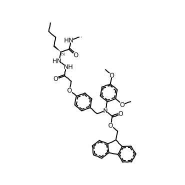 [CH2]NC(=O)[C@H](CCCC)NNC(=O)COc1ccc(CN(C(=O)OCC2c3ccccc3-c3ccccc32)c2ccc(OC)cc2OC)cc1